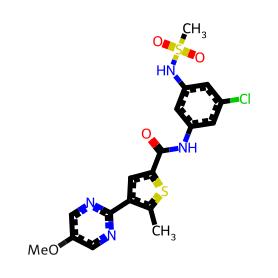 COc1cnc(-c2cc(C(=O)Nc3cc(Cl)cc(NS(C)(=O)=O)c3)sc2C)nc1